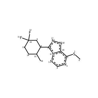 CSc1ncnn2c(C3CC(F)(F)CCC3C)nnc12